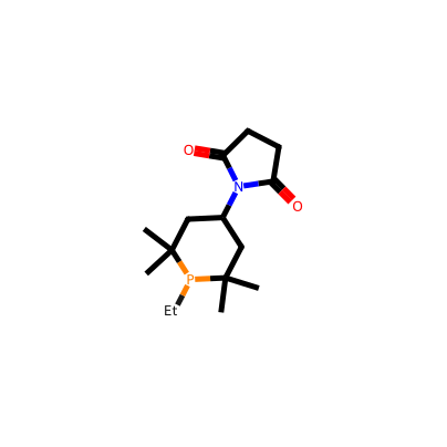 CCP1C(C)(C)CC(N2C(=O)CCC2=O)CC1(C)C